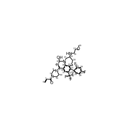 C=CC(=O)N1CCN(C2=NC(O)N3CC(NCCOC)CSc4c(-c5ccc(F)cc5F)c(C(F)(F)F)cc2c43)CC1